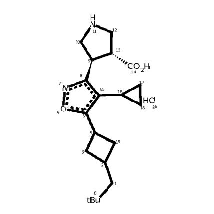 CC(C)(C)CC1CC(c2onc([C@H]3CNC[C@@H]3C(=O)O)c2C2CC2)C1.Cl